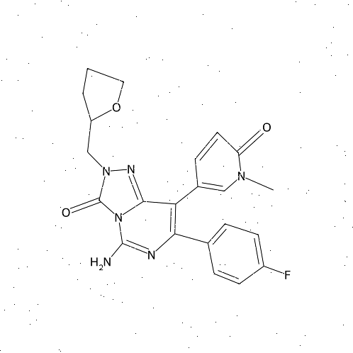 Cn1cc(-c2c(-c3ccc(F)cc3)nc(N)n3c(=O)n(CC4CCCO4)nc23)ccc1=O